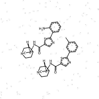 Cc1cccc(-c2ncc(C(=O)N[C@H]3CN4CCC3CC4)s2)c1.Nc1ccccc1-c1ncc(C(=O)N[C@H]2CN3CCC2CC3)s1